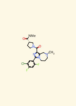 CNC(=O)[C@H]1CCN(C(=O)c2nc(-c3cc(Cl)c(F)cc3F)n3c2CN(C)CCC3)C1